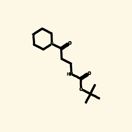 CC(C)(C)OC(=O)NCCC(=O)N1CC[CH]CC1